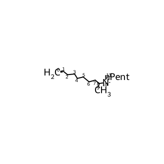 C=CCCCCCCC(C)[N]CCCCC